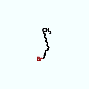 CCCCCCCC/C=C\CC#CCBr